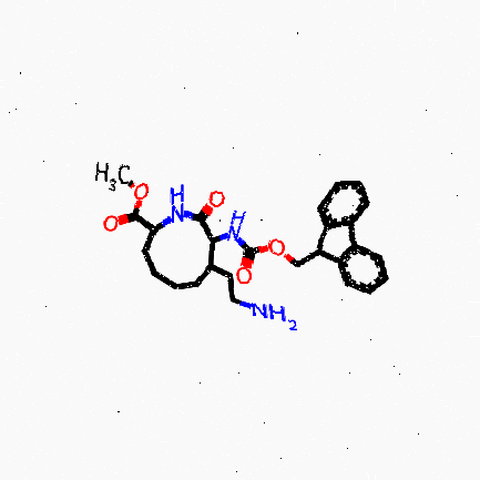 COC(=O)C1CCCCC(CCN)C(NC(=O)OCC2c3ccccc3-c3ccccc32)C(=O)N1